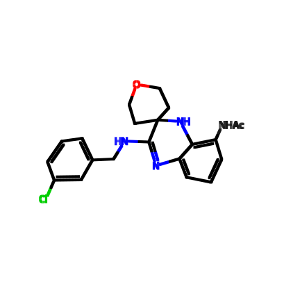 CC(=O)Nc1cccc2c1NC1(CCOCC1)C(NCc1cccc(Cl)c1)=N2